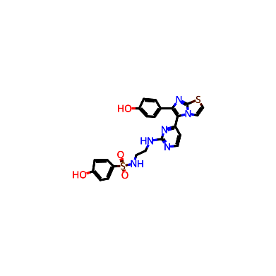 O=S(=O)(NCCNc1nccc(-c2c(-c3ccc(O)cc3)nc3sccn23)n1)c1ccc(O)cc1